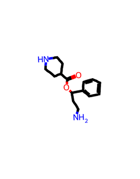 NCCC(OC(=O)C1CCNCC1)c1ccccc1